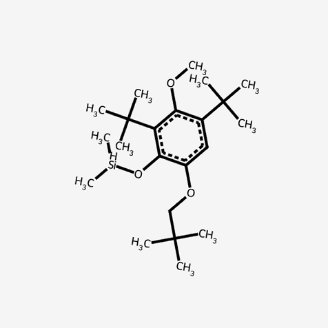 COc1c(C(C)(C)C)cc(OCC(C)(C)C)c(O[SiH](C)C)c1C(C)(C)C